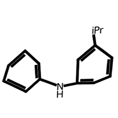 CC(C)c1cccc(Nc2ccccc2)c1